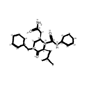 CC(C)C[C@H]1C(=O)N(CC2CCCCC2)C[C@@H](CC(N)=O)N1C(=O)NC1CCCCC1